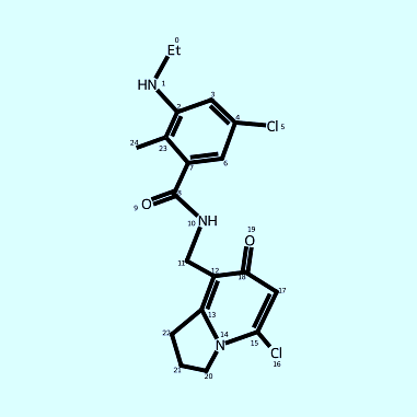 CCNc1cc(Cl)cc(C(=O)NCc2c3n(c(Cl)cc2=O)CCC3)c1C